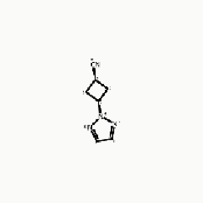 N#C[C@H]1C[C@@H](n2nccn2)C1